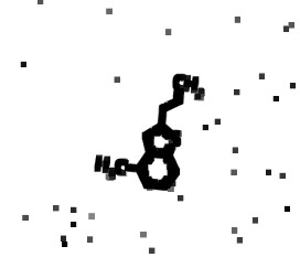 C=CCc1cc2c(C)cccc2s1